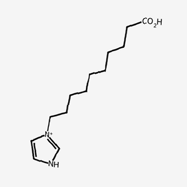 O=C(O)CCCCCCCCC[n+]1cc[nH]c1